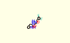 C[C@H](NC(=O)Cc1cc(F)cc(F)c1)C(=O)NC1CCc2ccccc2NC1=O